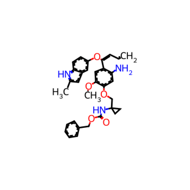 C=C/C=C(/Oc1ccc2[nH]c(C)cc2c1)c1cc(OC)c(OCC2(NC(=O)OCc3ccccc3)CC2)cc1N